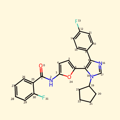 O=C(Nc1ccc(-c2c(-c3ccc(F)cc3)ncn2C2CCCC2)o1)c1ccccc1F